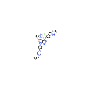 CCN1CCN(c2ccc(Nc3ncnc(Oc4ccc5[nH]c(C)cc5c4F)c3C(=O)NC)cc2)CC1